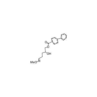 CON=CCCC(O)COC(=O)c1ccc(-c2ccccc2)cc1